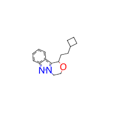 c1ccc2c3n(nc2c1)CCOC3CCC1CCC1